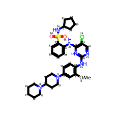 COc1cc(N2CCC(N3CCCCC3)CC2)ccc1Nc1ncc(Cl)c(Nc2ccccc2S(=O)(=O)NC2CCCC2)n1